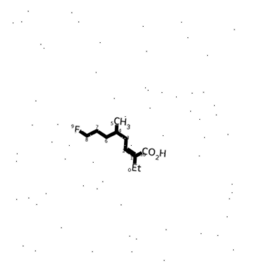 CCC(=CCC(C)CCCF)C(=O)O